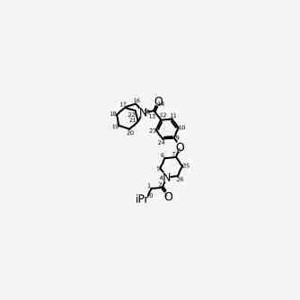 CC(C)CC(=O)N1CCC(Oc2ccc(C(=O)N3CC4CCCC3C4)cc2)CC1